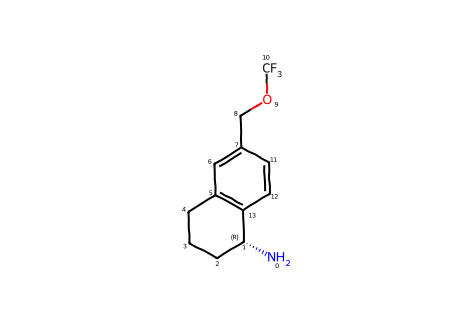 N[C@@H]1CCCc2cc(COC(F)(F)F)ccc21